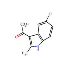 Cc1[nH]c2ccc(Cl)cc2c1C(=O)C(=O)O